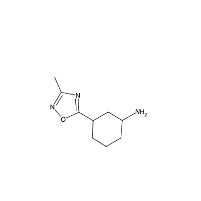 Cc1noc(C2CCCC(N)C2)n1